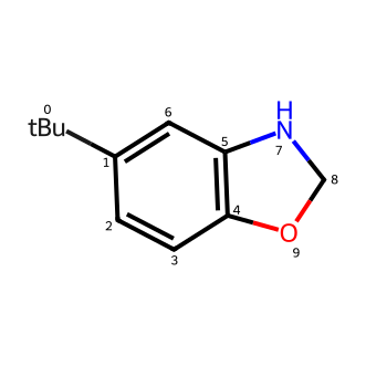 CC(C)(C)c1ccc2c(c1)NCO2